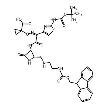 CC(C)(C)OC(=O)Nc1nc(/C(=N/OC2(C(=O)O)CC2)C(=O)N[C@@H]2C(=O)N[C@@H]2CNCCNC(=O)OCC2c3ccccc3-c3ccccc32)cs1